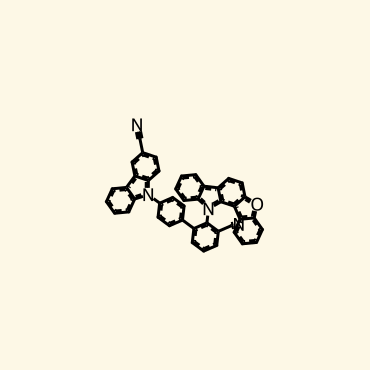 N#Cc1ccc2c(c1)c1ccccc1n2-c1ccc(-c2cccc(C#N)c2-n2c3ccccc3c3ccc4oc5ccccc5c4c32)cc1